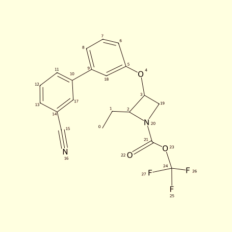 CCC1C(Oc2cccc(-c3cccc(C#N)c3)c2)CN1C(=O)OC(F)(F)F